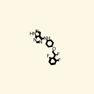 Fc1cccc(F)c1[C@H](F)CO[C@H]1CC[C@H](Nc2ncnc3[nH]ncc23)CC1